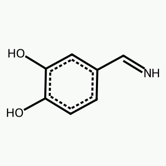 N=Cc1ccc(O)c(O)c1